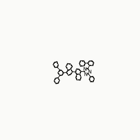 c1ccc(-c2cc(-c3ccccc3)cc(-c3ccc(-c4ccc(-c5nc(-c6ccccc6)nc(-c6ccccc6-c6ccccc6)n5)c5ccccc45)c4ccccc34)c2)cc1